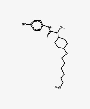 CNCCCCCCO[C@H]1CC[C@H](N(C)C(=S)Nc2ccc(C#N)cc2)CC1